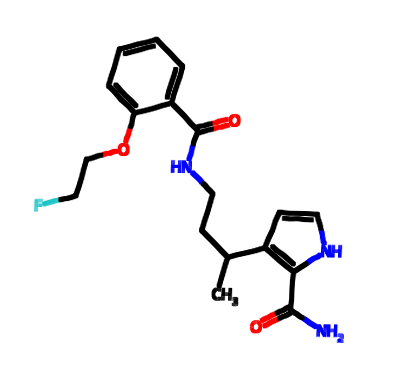 CC(CCNC(=O)c1ccccc1OCCF)c1cc[nH]c1C(N)=O